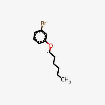 CC[CH]CC[CH]Oc1cccc(Br)c1